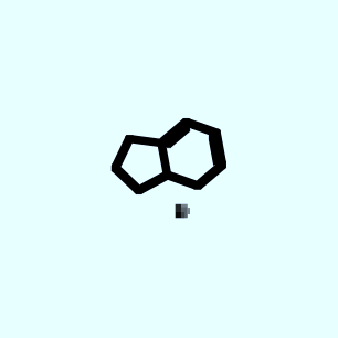 C1=CCC2CCCC2=C1.[Li]